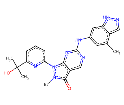 CCn1c(=O)c2cnc(Nc3cc(C)c4cn[nH]c4c3)nc2n1-c1cccc(C(C)(C)O)n1